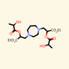 CCOC(=O)C(CN1CCCN(CC(OC(=O)C(C)O)C(=O)OCC)CC1)OC(=O)C(C)O